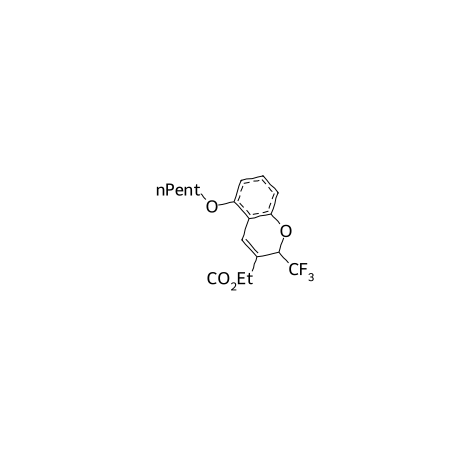 CCCCCOc1cccc2c1C=C(C(=O)OCC)C(C(F)(F)F)O2